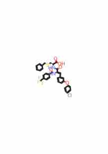 O=C(N[C@@H](CSCc1ccccc1)C(=O)O)C(=Cc1cccc(Oc2ccc(Cl)cc2)c1)NC(=O)c1ccc(C(F)(F)F)cc1